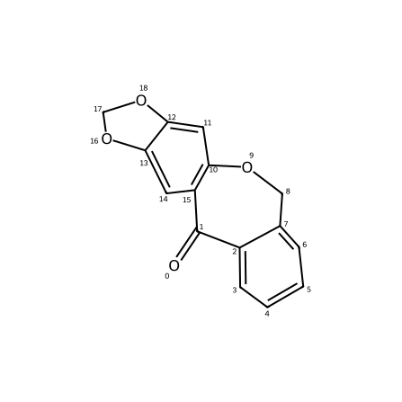 O=C1c2ccccc2COc2cc3c(cc21)OCO3